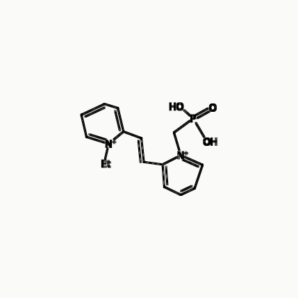 CC[n+]1ccccc1C=Cc1cccc[n+]1CP(=O)(O)O